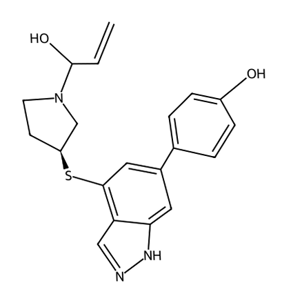 C=CC(O)N1CC[C@H](Sc2cc(-c3ccc(O)cc3)cc3[nH]ncc23)C1